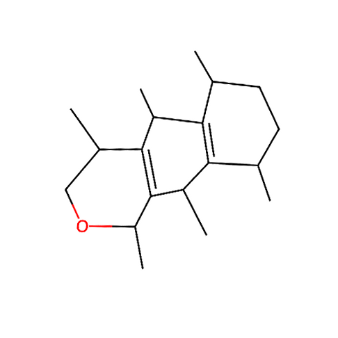 CC1CCC(C)C2=C1C(C)C1=C(C(C)OCC1C)C2C